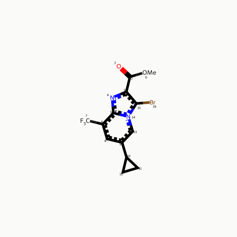 COC(=O)c1nc2c(C(F)(F)F)cc(C3CC3)cn2c1Br